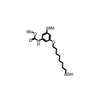 CCCCCCCCCCCCCCCCCCOc1cc(NC(=O)OC(C)(C)C)cc(SC)c1